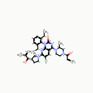 C=CC(=O)N1CCN(c2nc(=O)n(-c3c(CC)cccc3CC)c3nc(N4CC[C@@H](C(=O)C(=C)C)C4)c(Cl)cc23)C(C)C1